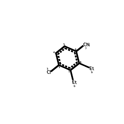 CCc1c(Cl)ccc(C#N)c1CC